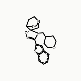 c1ccc2sc(C3=NO[C@]4(CN5CCC4CC5)N3CC3CCOCC3)cc2c1